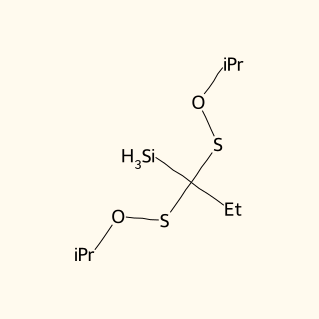 CCC([SiH3])(SOC(C)C)SOC(C)C